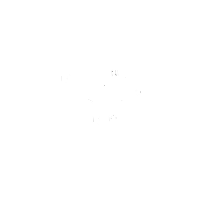 CCC(N)(SC)C(=O)O